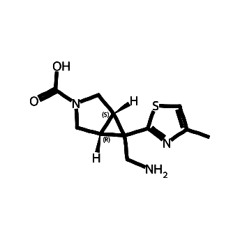 Cc1csc(C2(CN)[C@@H]3CN(C(=O)O)C[C@@H]32)n1